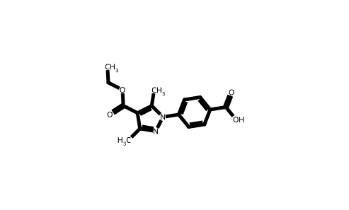 CCOC(=O)c1c(C)nn(-c2ccc(C(=O)O)cc2)c1C